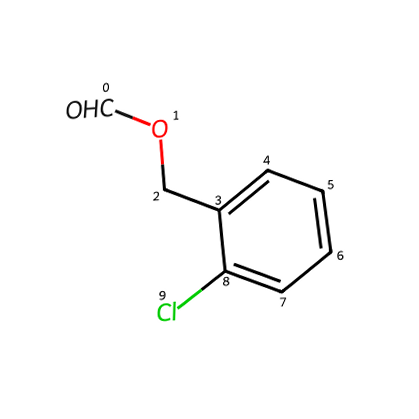 O=COCc1ccccc1Cl